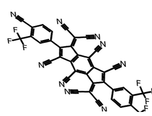 N#CC(C#N)=C1C(c2ccc(C#N)c(C(F)(F)F)c2)=C(C#N)c2c(C#N)c3c(c(C#N)c21)C(C#N)=C(c1ccc(C(F)(F)F)c(C(F)(F)F)c1)C3=C(C#N)C#N